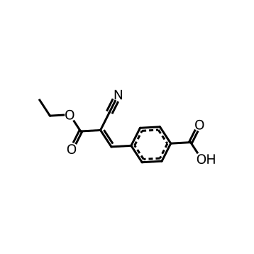 CCOC(=O)/C(C#N)=C/c1ccc(C(=O)O)cc1